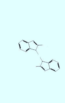 CC1=Cc2ccccc2[CH]1[Sc][CH]1C(C)=Cc2ccccc21